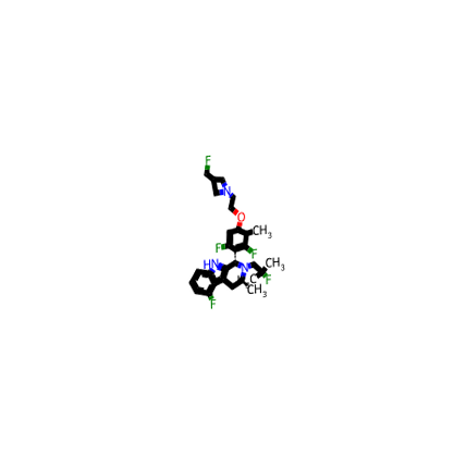 CC1C(F)=C([C@H]2c3[nH]c4cccc(F)c4c3C[C@H](C)N2CC(C)(C)F)C(F)=CC1OCCN1CC(CF)C1